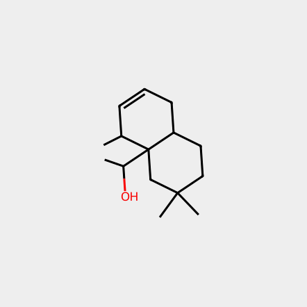 CC(O)C12CC(C)(C)CCC1CC=CC2C